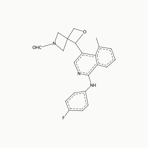 Cc1cccc2c(Nc3ccc(F)cc3)ncc(C3OCC34CN(C=O)C4)c12